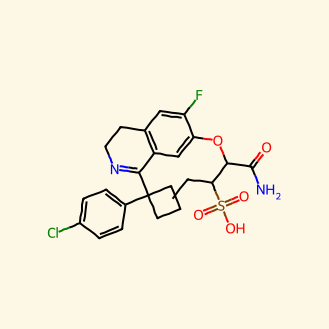 CCC(C(Oc1cc2c(cc1F)CCN=C2C1(c2ccc(Cl)cc2)CCC1)C(N)=O)S(=O)(=O)O